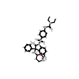 CCN(CC)C(=O)Nc1ccc(S(=O)(=O)N2C(=O)C(NC3CCNCC3)(c3ccccc3Cl)c3cc(Cl)ccc32)cc1